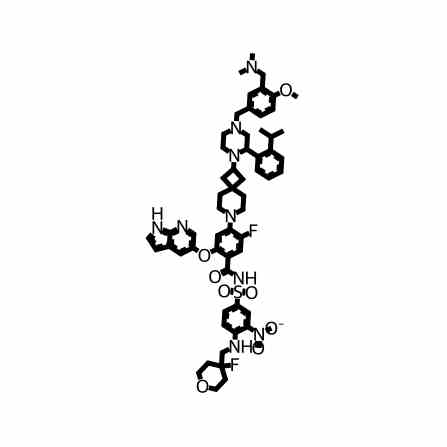 COc1ccc(CN2CCN(C3CC4(CCN(c5cc(Oc6cnc7[nH]ccc7c6)c(C(=O)NS(=O)(=O)c6ccc(NCC7(F)CCOCC7)c([N+](=O)[O-])c6)cc5F)CC4)C3)C(c3ccccc3C(C)C)C2)cc1CN(C)C